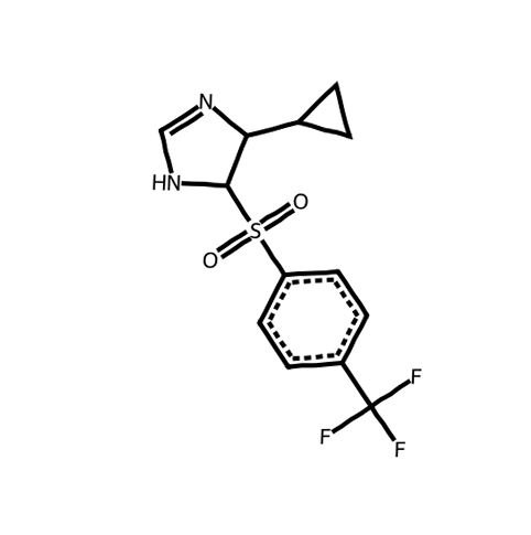 O=S(=O)(c1ccc(C(F)(F)F)cc1)C1NC=NC1C1CC1